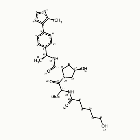 Cc1ncsc1-c1ccc([C@H](C)NC(=O)[C@@H]2C[C@@H](O)CN2C(=O)C(NC(=O)CCCCCO)C(C)(C)C)cc1